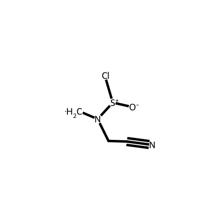 [CH2]N(CC#N)[S+]([O-])Cl